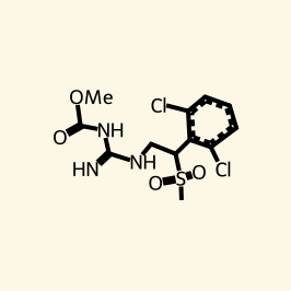 COC(=O)NC(=N)NCC(c1c(Cl)cccc1Cl)S(C)(=O)=O